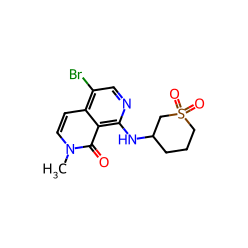 Cn1ccc2c(Br)cnc(NC3CCCS(=O)(=O)C3)c2c1=O